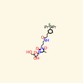 Cc1cn([C@H]2C[C@H](O)[C@@H](CO)O2)c(=O)n(CCCNC(=O)CCc2cccc([Si](F)(C(C)C)C(C)C)c2)c1=O